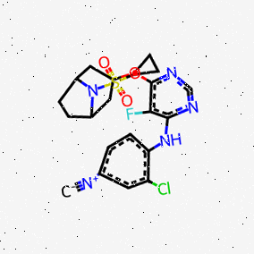 [C-]#[N+]c1ccc(Nc2ncnc(OC3CC4CCC(C3)N4S(=O)(=O)C3CC3)c2F)c(Cl)c1